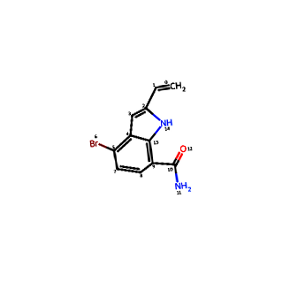 C=Cc1cc2c(Br)ccc(C(N)=O)c2[nH]1